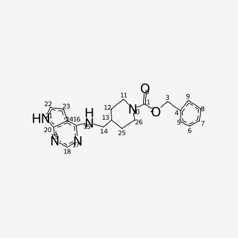 O=C(OCc1ccccc1)N1CCC(CNc2ncnc3[nH]ccc23)CC1